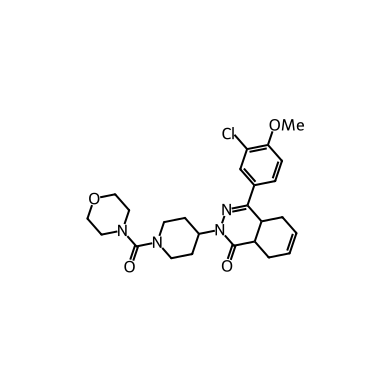 COc1ccc(C2=NN(C3CCN(C(=O)N4CCOCC4)CC3)C(=O)C3CC=CCC23)cc1Cl